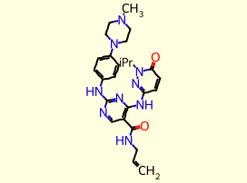 C=CCNC(=O)c1cnc(Nc2ccc(N3CCN(C)CC3)cc2)nc1Nc1ccc(=O)n(C(C)C)n1